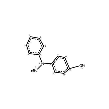 CCCCN(c1ccccc1)c1ccc(O)cc1